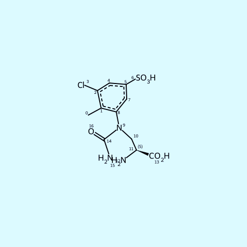 Cc1c(Cl)cc(S(=O)(=O)O)cc1N(C[C@H](N)C(=O)O)C(N)=O